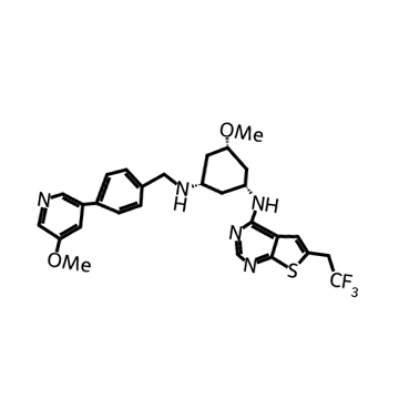 COc1cncc(-c2ccc(CN[C@H]3C[C@@H](Nc4ncnc5sc(CC(F)(F)F)cc45)C[C@@H](OC)C3)cc2)c1